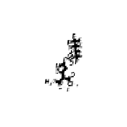 CC(=O)C(c1cc(OS(=O)(=O)C(F)(F)C(F)(F)C(F)(F)C(F)(F)F)no1)C(C)C